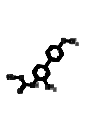 CC(C)(C)OC(=O)Nc1ccc(-c2ccc(OC(F)(F)F)cc2)cc1N